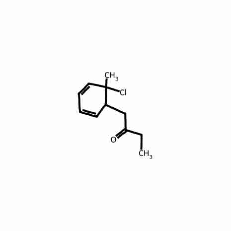 CCC(=O)CC1C=CC=CC1(C)Cl